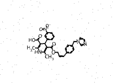 CC1=C(C(=O)O)C(c2cccc([N+](=O)[O-])c2)C(C(=O)OC/C=C\c2ccc(Cn3ccnc3)cc2)=C(C)N1